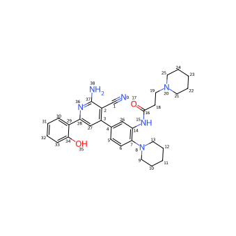 N#Cc1c(-c2ccc(N3CCCCC3)c(NC(=O)CCN3CCCCC3)c2)cc(-c2ccccc2O)nc1N